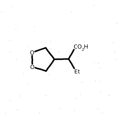 CCC(C(=O)O)C1COOC1